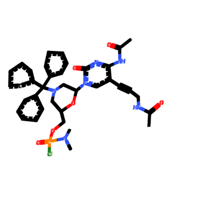 CC(=O)NCC#Cc1cn(C2CN(C(c3ccccc3)(c3ccccc3)c3ccccc3)CC(COP(=O)(Cl)N(C)C)O2)c(=O)nc1NC(C)=O